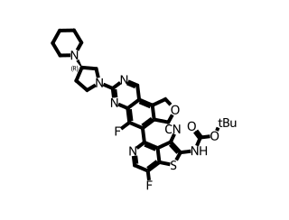 CC(C)(C)OC(=O)Nc1sc2c(F)cnc(-c3c4c(c5cnc(N6CC[C@@H](N7CCCCC7)C6)nc5c3F)COC4)c2c1C#N